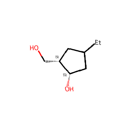 CCC1C[C@@H](CO)[C@@H](O)C1